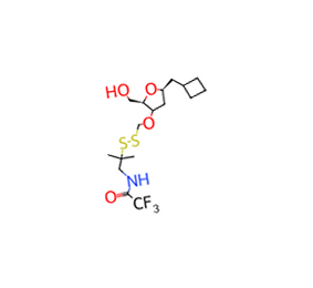 CC(C)(CNC(=O)C(F)(F)F)SSCOC1C[C@H](CC2CCC2)O[C@@H]1CO